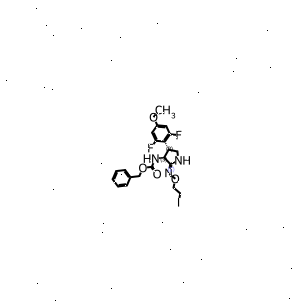 COc1cc(F)c([C@@H]2CN/C(=N\OCCI)[C@H]2NC(=O)OCc2ccccc2)c(F)c1